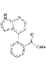 COC(=O)c1ccccc1-c1ccnc2[nH]ccc12